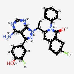 CC(c1cc2ccc(F)cc2c(=O)n1-c1ccccc1)n1nc(-c2ccc(O)c(F)c2)c2c(N)ncnc21